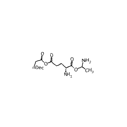 CCCCCCCCCCCC(=O)OC(=O)CC[C@H](N)C(=O)OC(C)N